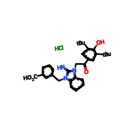 CC(C)(C)c1cc(C(=O)Cn2c(=N)n(Cc3cccc(C(=O)O)c3)c3ccccc32)cc(C(C)(C)C)c1O.Cl